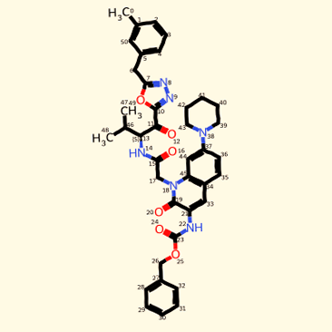 Cc1cccc(Cc2nnc(C(=O)[C@@H](NC(=O)Cn3c(=O)c(NC(=O)OCc4ccccc4)cc4ccc(N5CCCCC5)cc43)C(C)C)o2)c1